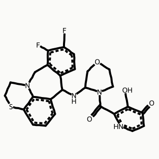 O=C(c1[nH]ccc(=O)c1O)N1CCOCC1NC1c2ccc(F)c(F)c2CN2CCSc3cccc1c32